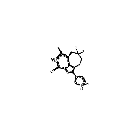 Cc1[nH]c(=O)c2sc(-c3cn[nH]c3)c3c2c1CC(F)(F)CO3